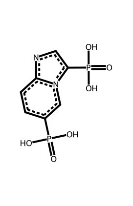 O=P(O)(O)c1ccc2ncc(P(=O)(O)O)n2c1